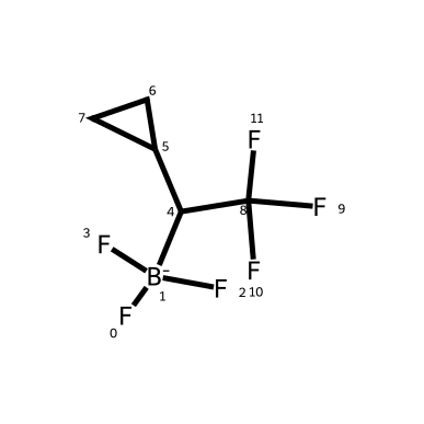 F[B-](F)(F)C(C1CC1)C(F)(F)F